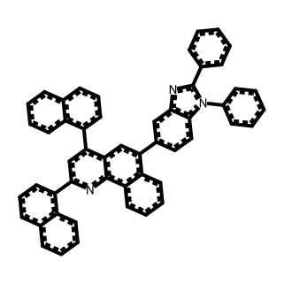 c1ccc(-c2nc3cc(-c4cc5c(-c6cccc7ccccc67)cc(-c6cccc7ccccc67)nc5c5ccccc45)ccc3n2-c2ccccc2)cc1